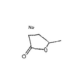 CC1CCC(=O)O1.[Na]